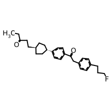 CCC(=O)CC[C@H]1CC[C@H](c2ccc(C(=O)Cc3ccc(CCCF)cc3)cc2)CC1